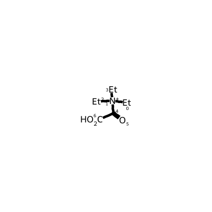 CC[N+](CC)(CC)C(=O)C(=O)O